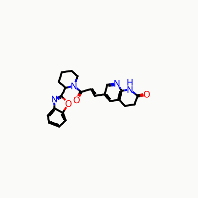 O=C1CCc2cc(C=CC(=O)N3CCCCC3c3nc4ccccc4o3)cnc2N1